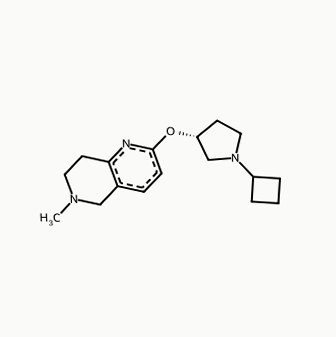 CN1CCc2nc(O[C@@H]3CCN(C4CCC4)C3)ccc2C1